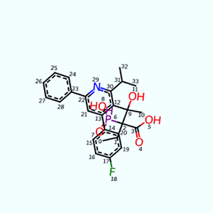 CCC(C(=O)O)([PH](=O)O)C(C)(O)c1c(-c2ccc(F)cc2)cc(-c2ccccc2)nc1C(C)C